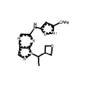 COc1cc(Nc2cnc3cnn(C(C)C4COC4)c3n2)n[nH]1